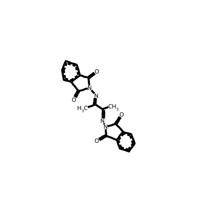 CC(=N\N1C(=O)c2ccccc2C1=O)/C(C)=N/N1C(=O)c2ccccc2C1=O